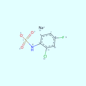 O=S(=O)([O-])Nc1ccc(F)cc1Cl.[Na+]